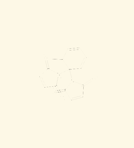 CC1C=CC=CC1(N1C(=O)C=CC1=O)N1C(=O)C=CC1=O